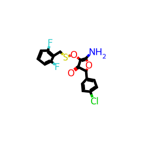 NC1=C(OSCc2c(F)cccc2F)C(=O)C(c2ccc(Cl)cc2)O1